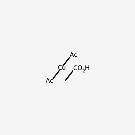 CC(=O)O.C[C](=O)[Cu][C](C)=O